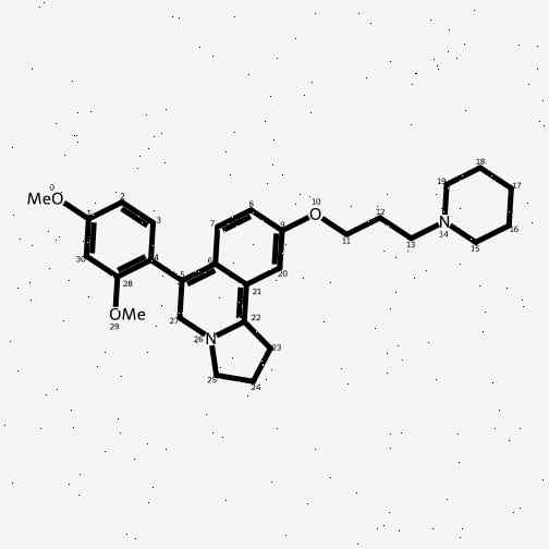 COc1ccc(C2=c3ccc(OCCCN4CCCCC4)cc3=C3CCCN3C2)c(OC)c1